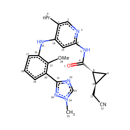 CCCc1cnc(NC(=O)[C@@H]2C[C@H]2CC#N)cc1Nc1cccc(-c2ncn(C)n2)c1OC